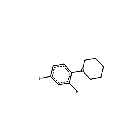 Fc1ccc(N2CCCCC2)c(F)c1